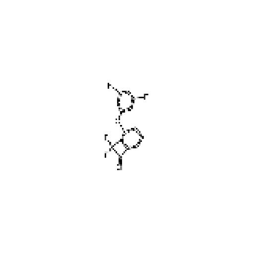 O=C1c2cccc(Oc3cc(F)cc(F)c3)c2C1(F)F